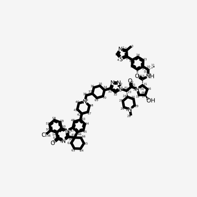 Cc1ncsc1-c1ccc([C@H](C)NC(=O)[C@@H]2C[C@@H](O)CN2C(=O)[C@H](C2CCN(C)CC2)n2cc(C3CCC(CN4CCC(c5ccc6c(c5)-n5c(nc(=O)c7c(Cl)cccc75)C65CCCCC5)CC4)CC3)nn2)cc1